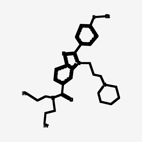 CCSc1ccc(-c2nc3ccc(C(=O)N(CCC(C)C)CCC(C)C)cc3n2CCCN2CCCCC2)cc1